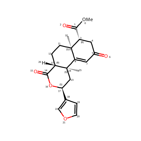 COC(=O)[C@@H]1CC(=O)C=C2[C@@]1(C)CC[C@H]1C(=O)O[C@H](c3ccoc3)C[C@]21C